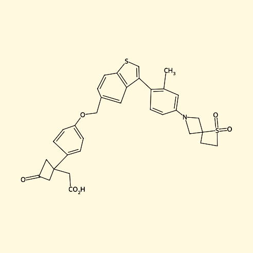 Cc1cc(N2CC3(CCS3(=O)=O)C2)ccc1-c1csc2ccc(COc3ccc(C4(CC(=O)O)CC(=O)C4)cc3)cc12